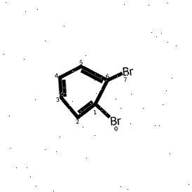 Brc1c[c]ccc1Br